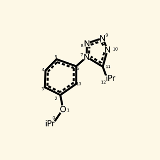 CC(C)Oc1cccc(-n2nnnc2C(C)C)c1